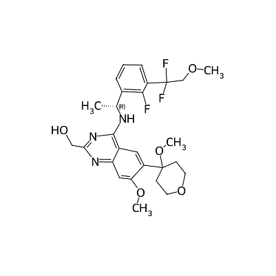 COCC(F)(F)c1cccc([C@@H](C)Nc2nc(CO)nc3cc(OC)c(C4(OC)CCOCC4)cc23)c1F